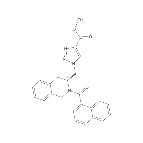 COC(=O)c1cn(C[C@@H]2Cc3ccccc3CN2C(=O)c2cccc3ccccc23)nn1